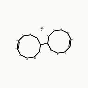 C1=C\CCCC(C2CCC/C=C\CCCC2)CCCC/1.[KH]